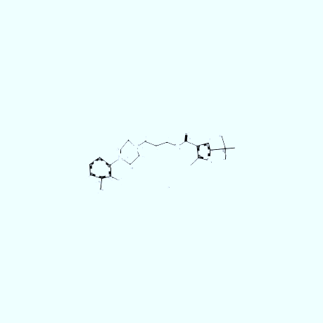 Cc1[nH]c(C(C)(C)C)cc1C(=O)NCCCN1CCN(c2cccc(Cl)c2Cl)CC1.Cl